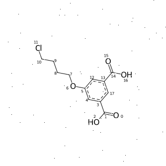 O=C(O)c1cc(OCCCCCl)cc(C(=O)O)c1